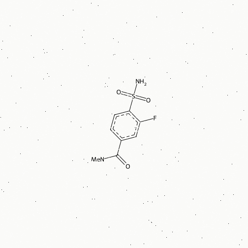 CNC(=O)c1ccc(S(N)(=O)=O)c(F)c1